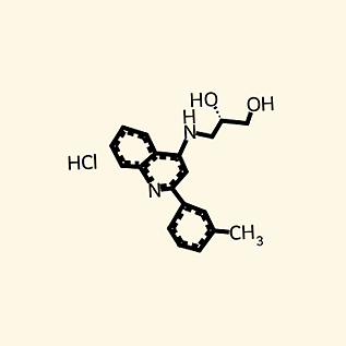 Cc1cccc(-c2cc(NC[C@H](O)CO)c3ccccc3n2)c1.Cl